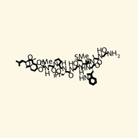 CO[C@@H]1[C@H](OC(=O)NCC(=O)N2CCCC2C(=O)N[C@@H](CC(C)C)C(=O)NCC(=O)N[C@@H](CCSC)C(=O)N[C@@H](Cc2c[nH]c3ccccc23)C(=O)N[C@@H](C)C(=O)NCC(N)=O)CC[C@]2(CO2)[C@H]1[C@@]1(C)O[C@@H]1CC=C(C)C